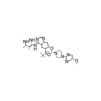 COc1cnc(N2CCN(COc3cc4ncnc(N/C(N)=C(\C)C(C)=N)c4cc3[S+]([O-])C(C)(C)C)CC2)nc1